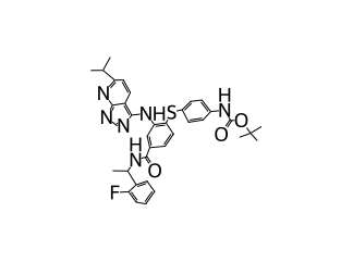 CC(C)c1ccc2c(Nc3cc(C(=O)NC(C)c4ccccc4F)ccc3Sc3ccc(NC(=O)OC(C)(C)C)cc3)ncnc2n1